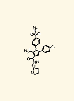 Cc1c(C(=O)NC[C@H]2CCCO2)cc(-c2ccc(Cl)cc2)n1-c1ccc(S(N)(=O)=O)cc1